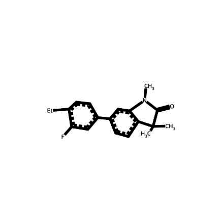 CCc1ccc(-c2ccc3c(c2)N(C)C(=O)C3(C)C)cc1F